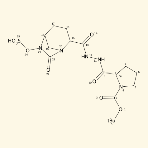 CC(C)(C)OC(=O)N1CCC[C@H]1C(=O)NNC(=O)C1CCC2CN1C(=O)N2OS(=O)(=O)O